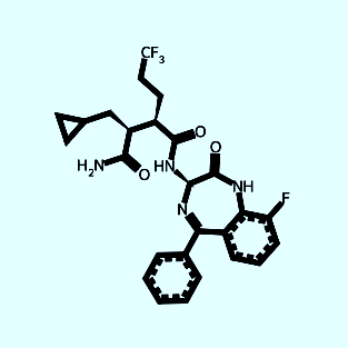 NC(=O)[C@@H](CC1CC1)[C@@H](CCC(F)(F)F)C(=O)N[C@@H]1N=C(c2ccccc2)c2cccc(F)c2NC1=O